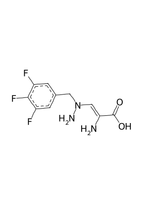 N/C(=C\N(N)Cc1cc(F)c(F)c(F)c1)C(=O)O